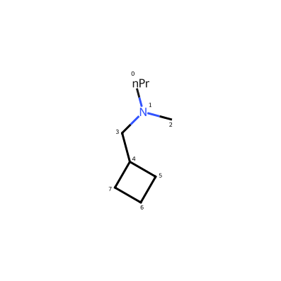 CCCN(C)CC1CCC1